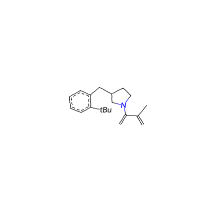 C=C(C)C(=C)N1CCC(Cc2ccccc2C(C)(C)C)C1